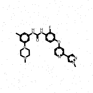 Cc1cc(NC(=O)Nc2ccc(Oc3ccnc(-c4cnn(C)c4)c3)cc2F)cc(N2CCN(C)CC2)c1